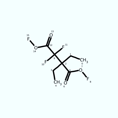 CCC(CC)(C(=O)OF)C(F)(F)C(=O)OF